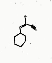 N#C/C(Br)=C\C1CCCCC1